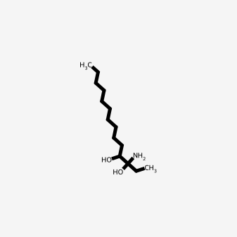 CCCCCCCCCCC(O)C(N)(O)CC